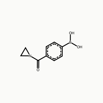 O=C(c1ccc(B(O)O)cc1)N1CC1